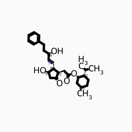 CC(C)[C@@H]1CC[C@@H](C)CC1OC(=O)C[C@H]1C(=O)C[C@@H](O)[C@@H]1/C=C/[C@@H](O)CCc1ccccc1